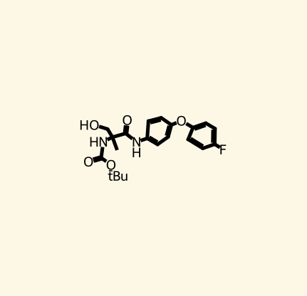 CC(C)(C)OC(=O)NC(C)(CO)C(=O)Nc1ccc(Oc2ccc(F)cc2)cc1